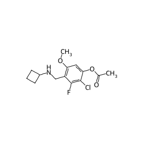 COc1cc(OC(C)=O)c(Cl)c(F)c1CNC1CCC1